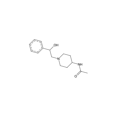 CC(=O)NC1CCN(CC(O)c2ccccc2)CC1